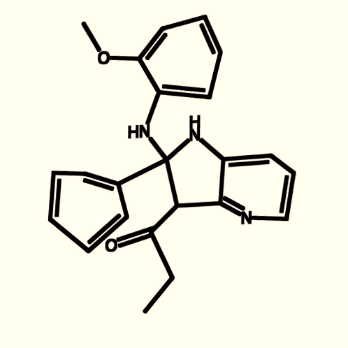 CCC(=O)C1c2ncccc2NC1(Nc1ccccc1OC)c1ccccc1